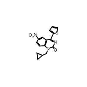 O=c1nc(-c2cccs2)c2cc([N+](=O)[O-])ccc2n1CC1CC1